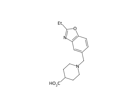 CCc1nc2cc(CN3CCC(C(=O)O)CC3)ccc2o1